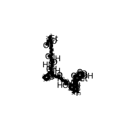 CCC(C)(C)C1CC(=O)N(CCCCCC(=O)NCC(=O)NCC(=O)NC(Cc2ccccc2)C(=O)NCC(=O)NCCCC(=O)NC2CCc3c(C)c(F)cc4nc5c(c2c34)Cn2c-5cc3c(c2=O)COC(=O)[C@]3(O)CC)C1=O